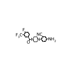 N#Cc1cc(N)ccc1N1CCN(C(=O)c2ccc(F)c(C(F)(F)F)c2)CC1